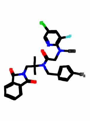 CC(C)(CN1C(=O)c2ccccc2C1=O)N(Cc1ccc(C(F)(F)F)cc1)C(=O)CN(C=O)c1ncc(Cl)cc1F